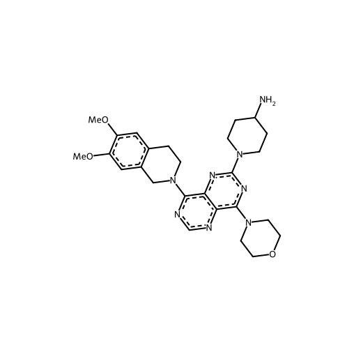 COc1cc2c(cc1OC)CN(c1ncnc3c(N4CCOCC4)nc(N4CCC(N)CC4)nc13)CC2